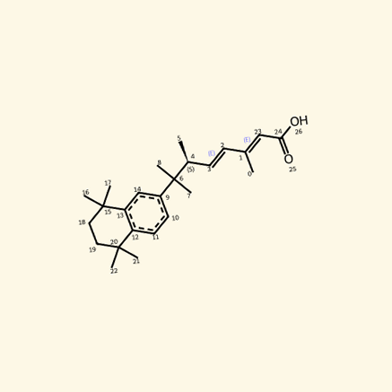 CC(/C=C/[C@H](C)C(C)(C)c1ccc2c(c1)C(C)(C)CCC2(C)C)=C\C(=O)O